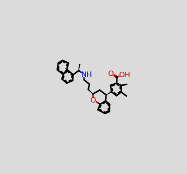 Cc1cc([C@@H]2C[C@H](CCCN[C@H](C)c3cccc4ccccc34)Oc3ccccc32)cc(C(=O)O)c1C